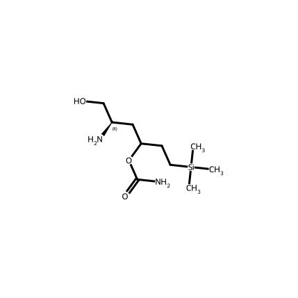 C[Si](C)(C)CCC(C[C@@H](N)CO)OC(N)=O